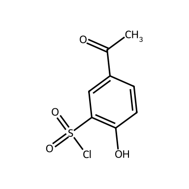 CC(=O)c1ccc(O)c(S(=O)(=O)Cl)c1